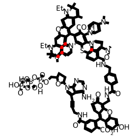 CCN1c2cc3c(cc2C(C)=CC1(C)C)C(c1c(C(=O)O)c(-[n+]2ccc(N(C)C)cc2)c(-[n+]2ccc(N(C)C)cc2)c(Sc2ccc(C(=O)NCc4ccc(C(=O)NCc5c6oc7cc(O)ccc7c(-c7cc(C(=O)NCC#Cc8cn(C9CCC(COP(=O)(O)OP(=O)(O)OP(=O)(O)O)O9)c9ncnc(N)c89)ccc7C(=O)O)c-6ccc5=O)cc4)cc2)c1-[n+]1ccc(N(C)C)cc1)=c1cc2c(cc1O3)=[N+](CC)C(C)(C)C=C2C